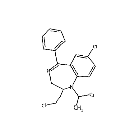 CC(Cl)N1c2ccc(Cl)cc2C(c2ccccc2)=NCC1CCl